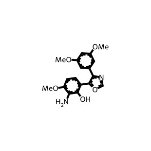 COc1cc(OC)cc(-c2ncoc2-c2ccc(OC)c(N)c2O)c1